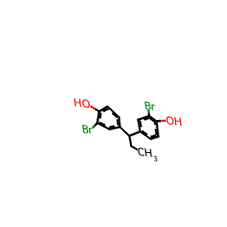 CCC(c1ccc(O)c(Br)c1)c1ccc(O)c(Br)c1